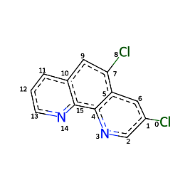 Clc1cnc2c(c1)c(Cl)cc1cccnc12